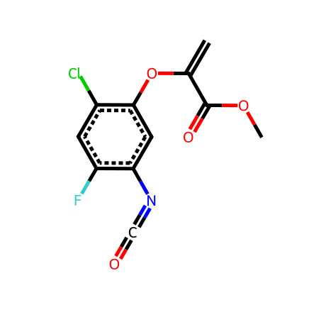 C=C(Oc1cc(N=C=O)c(F)cc1Cl)C(=O)OC